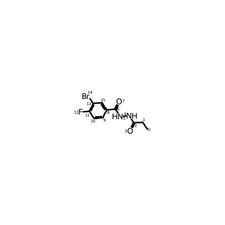 CCC(=O)NNC(=O)c1ccc(F)c(Br)c1